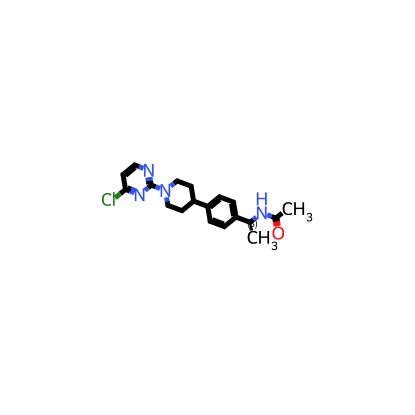 CC(=O)N[C@@H](C)c1ccc(C2CCN(c3nccc(Cl)n3)CC2)cc1